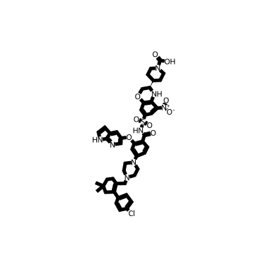 CC1(C)CCC(CN2CCN(c3ccc(C(=O)NS(=O)(=O)c4cc5c(c([N+](=O)[O-])c4)N[C@@H](C4CCN(C(=O)O)CC4)CO5)c(Oc4cnc5[nH]ccc5c4)c3)CC2)=C(c2ccc(Cl)cc2)C1